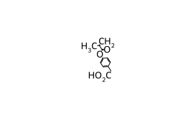 C=C(C)C(=O)Oc1ccc(CC(=O)O)cc1